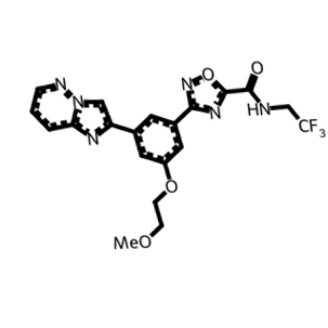 COCCOc1cc(-c2cn3ncccc3n2)cc(-c2noc(C(=O)NCC(F)(F)F)n2)c1